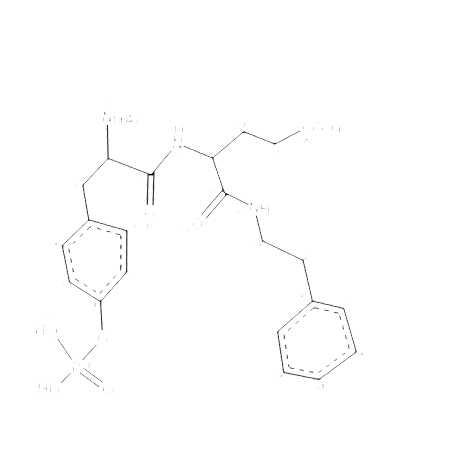 CC(=O)NC(Cc1ccc(OP(=O)(O)O)cc1)C(=O)NC(CCC(=O)O)C(=O)NCCc1ccccc1